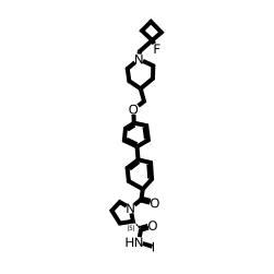 O=C(NI)[C@@H]1CCCN1C(=O)C1C=CC(c2ccc(OCC3CCN(CC4(F)CCC4)CC3)cc2)=CC1